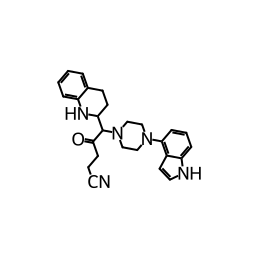 N#CCCC(=O)C(C1CCc2ccccc2N1)N1CCN(c2cccc3[nH]ccc23)CC1